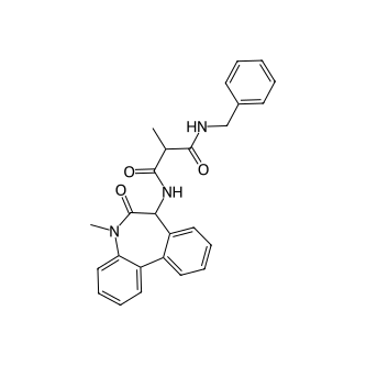 CC(C(=O)NCc1ccccc1)C(=O)NC1C(=O)N(C)c2ccccc2-c2ccccc21